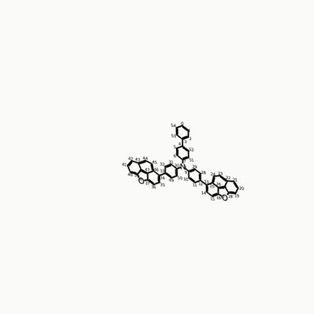 c1ccc(-c2ccc(N(c3ccc(-c4ccc5oc6cccc7ccc4c5c76)cc3)c3ccc(-c4ccc5oc6cccc7ccc4c5c76)cc3)cc2)cc1